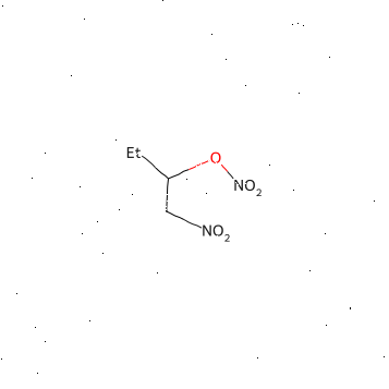 CCC(C[N+](=O)[O-])O[N+](=O)[O-]